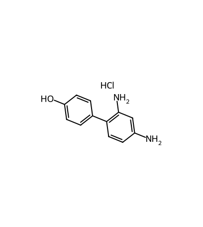 Cl.Nc1ccc(-c2ccc(O)cc2)c(N)c1